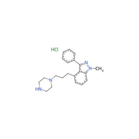 Cl.Cn1nc(-c2ccccc2)c2c(CCCN3CCNCC3)cccc21